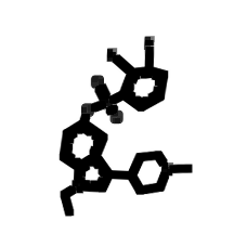 CCn1cc(C2CCN(C)CC2)c2cc(OS(=O)(=O)c3cccc(F)c3F)ccc21